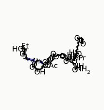 CC[C@H](O)[C@@H](C)[C@H]1O[C@@H]1C[C@H](C)/C=C/C=C(\C)[C@H]1OC(=O)C[C@H](O)CC[C@@](C)(OC(C)=O)[C@@H](OC(=O)N2CCN(C(=O)OCc3ccc(NC(=O)[C@H](CCCNC(N)=O)NC(=O)[C@@H](NC(=O)CCCCCN4C(=O)C=CC4=O)C(C)C)cc3)CC2)/C=C/[C@@H]1C